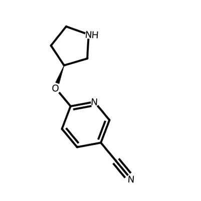 N#Cc1ccc(O[C@H]2CCNC2)nc1